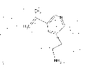 C=C(C)c1cncc(CCN)c1